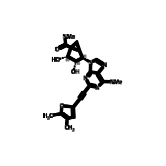 CNC(=O)C12CC1[C@@H](n1cnc3c(NC)nc(C#Cc4cc(C)c(C)o4)nc31)[C@H](O)[C@@H]2O